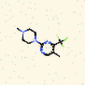 Cc1cnc(N2CCN(C)CC2)nc1C(F)(F)F